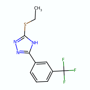 CCSc1nnc(-c2cccc(C(F)(F)F)c2)[nH]1